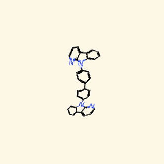 c1ccc2c(c1)c1cccnc1n2-c1ccc(-c2ccc(-n3c4ccccc4c4cccnc43)cc2)cc1